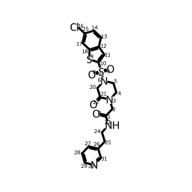 O=C(CN1CCN(S(=O)(=O)c2cc3ccc(Cl)cc3s2)CC1=O)NCCc1cccnc1